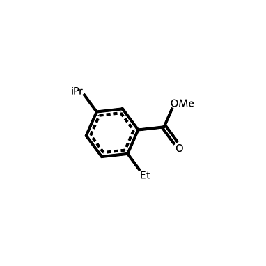 CCc1ccc(C(C)C)cc1C(=O)OC